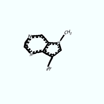 CC(C)c1cn(C)c2cncnc12